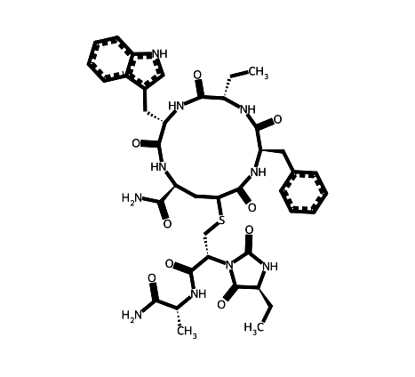 CC[C@@H]1NC(=O)[C@@H](Cc2ccccc2)NC(=O)C(SC[C@@H](C(=O)N[C@H](C)C(N)=O)N2C(=O)N[C@@H](CC)C2=O)C[C@@H](C(N)=O)NC(=O)[C@H](Cc2c[nH]c3ccccc23)NC1=O